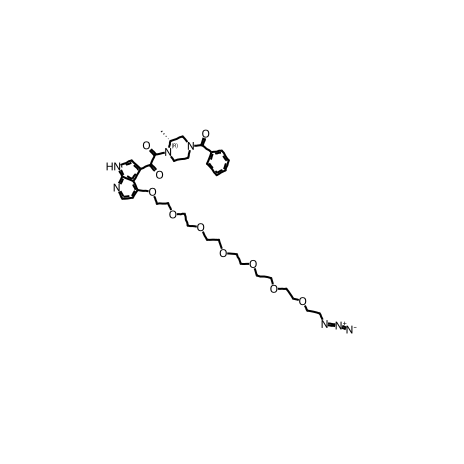 C[C@@H]1CN(C(=O)c2ccccc2)CCN1C(=O)C(=O)c1c[nH]c2nccc(OCCOCCOCCOCCOCCOCCOCCN=[N+]=[N-])c12